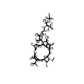 CC[C@H]1c2cc3[nH]c4c(c3C)C(=O)C(C(=O)OC)c4c3nc(cc4[nH]c(cc(n2)[C@@H]1C)c(C(C)=O)c4C)[C@@H](C)[C@@H]3CCC(=O)NCCC[C@@H](C(=O)OC(C)(C)C)[N+](C)(C)C